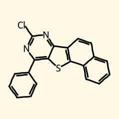 Clc1nc(-c2ccccc2)c2sc3c4ccccc4ccc3c2n1